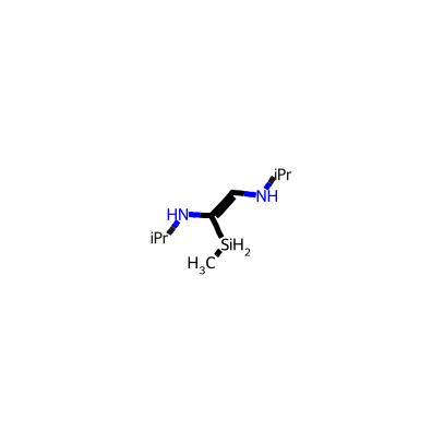 C[SiH2]C(=CNC(C)C)NC(C)C